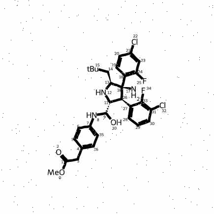 COC(=O)Cc1ccc(NC(O)[C@@H]2N[C@@H](CC(C)(C)C)[C@](N)(c3ccc(Cl)cc3F)[C@H]2c2cccc(Cl)c2F)cc1